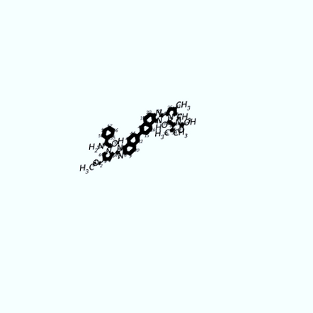 COC[C@H]1C[C@@H](c2nc3ccc4cc(-c5ccc6c(ccc7nc([C@@H]8C[C@H](C)CN8C(=O)[C@H](C(C)C)N(C)C(=O)O)[nH]c76)c5)ccc4c3[nH]2)N(C(=O)[C@H](N)c2ccccc2)C1